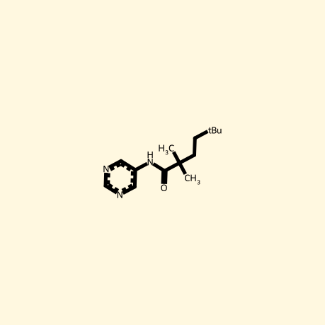 CC(C)(C)CCC(C)(C)C(=O)Nc1cncnc1